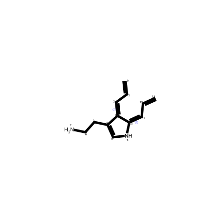 C=C/C=c1/c(CCN)c[nH]/c1=C/C=C